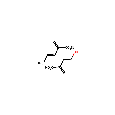 C=C(C=CC(=O)O)C(=O)OCC.C=C(CCO)C(=O)O